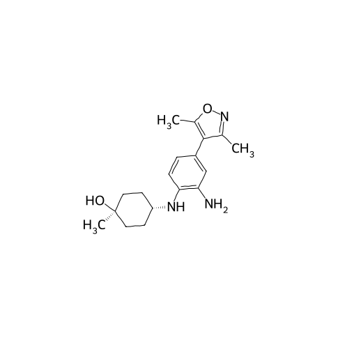 Cc1noc(C)c1-c1ccc(N[C@H]2CC[C@](C)(O)CC2)c(N)c1